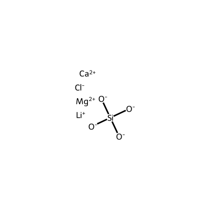 [Ca+2].[Cl-].[Li+].[Mg+2].[O-][Si]([O-])([O-])[O-]